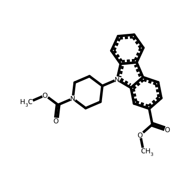 COC(=O)c1ccc2c3ccccc3n(C3CCN(C(=O)OC)CC3)c2c1